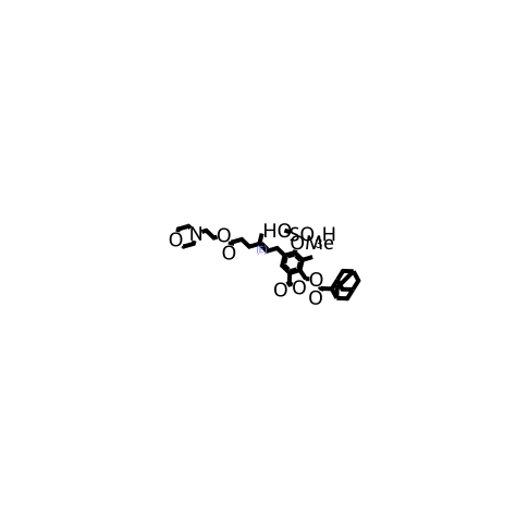 COc1c(C/C=C(\C)CCC(=O)OCCN2CCOCC2)cc2c(c1C)C(OC(=O)C1C3CC4CC(C3)CC1C4)OC2=O.O=S(=O)(O)O